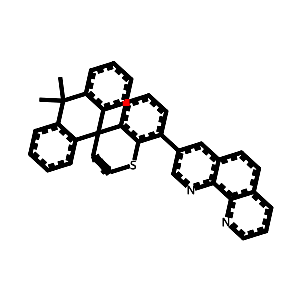 CC1(C)c2ccccc2C2(c3ccccc3Sc3c(-c4cnc5c(ccc6cccnc65)c4)cccc32)c2ccccc21